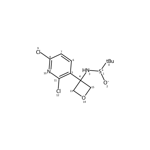 CC(C)(C)[S+]([O-])NC1(c2ccc(Cl)nc2Cl)COC1